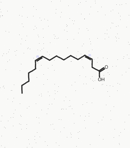 CCCCC/C=C\CCCCC/C=C\CC(=O)O